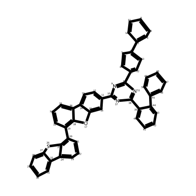 c1ccc(-c2ccc(-c3nc(-c4ccc5c(c4)oc4c(-c6cccc7c6sc6ccccc67)cccc45)nc(-c4ccccc4-c4ccccc4)n3)cc2)cc1